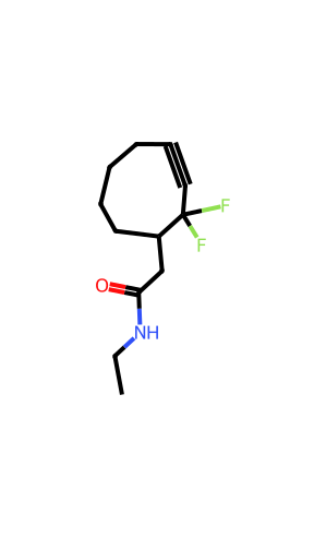 CCNC(=O)CC1CCCCC#CC1(F)F